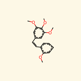 COc1ccccc1/C=C\c1cc(OC)c(OC)c(OC)c1